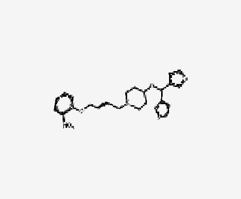 O=[N+]([O-])c1ccccc1OC/C=C/CN1CCC(OC(c2ccsc2)c2ccsc2)CC1